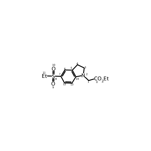 CCOC(=O)CN1CCc2cc(S(=O)(=O)CC)ccc21